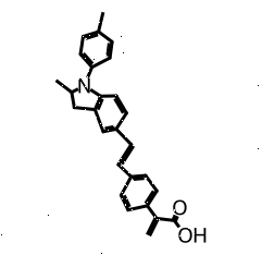 C=C(C(=O)O)c1ccc(C=Cc2ccc3c(c2)CC(C)N3c2ccc(C)cc2)cc1